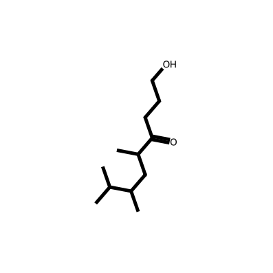 CC(CC(C)C(C)C)C(=O)CCCO